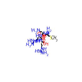 CSCC[C@H](N)C(=O)N[C@@H](CC(N)=O)C(=O)N[C@@H](CCCNC(=N)N)C(=O)N[C@@H](CCCNC(=N)N)C(=O)O